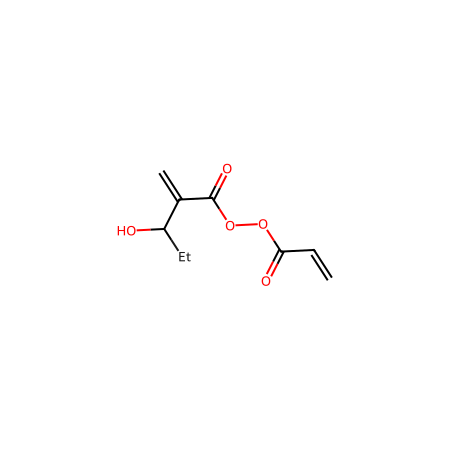 C=CC(=O)OOC(=O)C(=C)C(O)CC